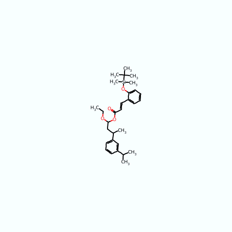 CCOC(CC(C)c1cccc(C(C)C)c1)OC(=O)C=Cc1ccccc1O[Si](C)(C)C(C)(C)C